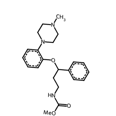 COC(=O)NCCC(Oc1ccccc1N1CCN(C)CC1)c1ccccc1